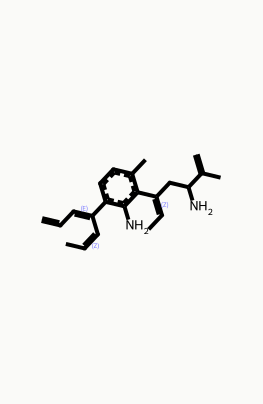 C=C/C=C(\C=C/C)c1ccc(C)c(/C(=C\C)CC(N)C(=C)C)c1N